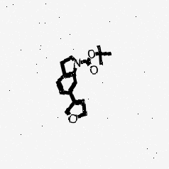 CC(C)(C)OC(=O)N1CCc2ccc(C3=CCOC3)cc21